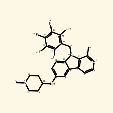 Cc1nccc2c3cc(NC4CCN(C)CC4)ccc3n(Cc3c(F)c(F)c(F)c(F)c3F)c12